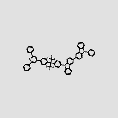 FC(F)(F)C(c1ccc(-c2cc(-c3ccccc3)nc(-c3ccccc3)c2)cc1)(c1ccc(-n2c3ccccc3c3cc(-c4ccc5c(c4)c4ccccc4n5-c4ccccc4)ccc32)cc1)C(F)(F)F